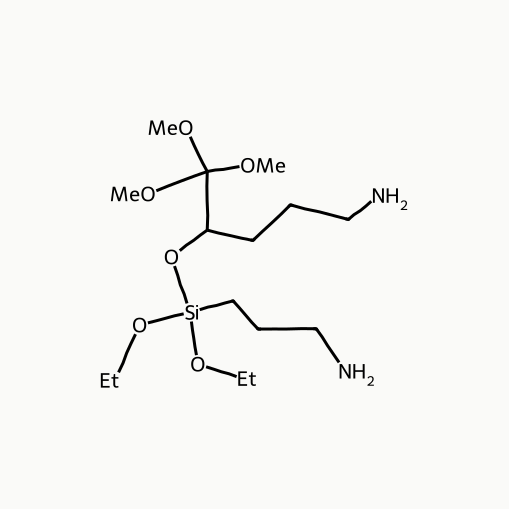 CCO[Si](CCCN)(OCC)OC(CCCN)C(OC)(OC)OC